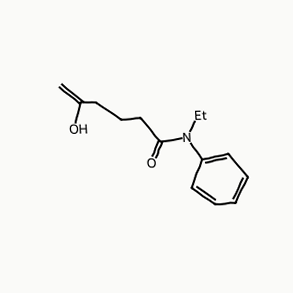 C=C(O)CCCC(=O)N(CC)c1ccccc1